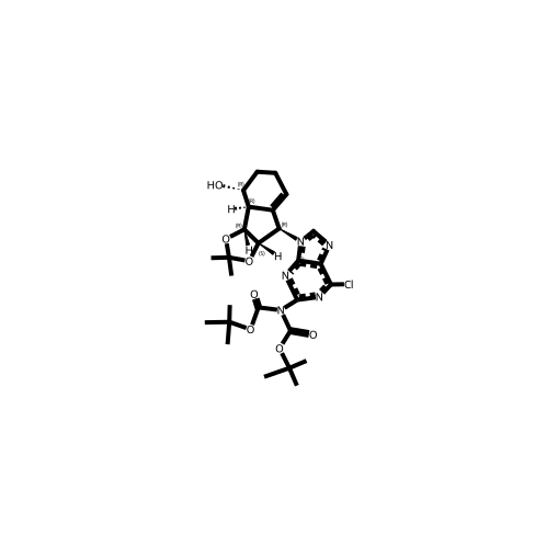 CC(C)(C)OC(=O)N(C(=O)OC(C)(C)C)c1nc(Cl)c2ncn([C@@H]3C4=CCC[C@@H](O)[C@@H]4[C@H]4OC(C)(C)O[C@H]43)c2n1